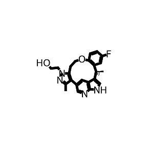 Cc1nn(CCO)c2c1-c1cnc3[nH]cc(c3c1)[C@H](C)c1cc(F)ccc1OCC2